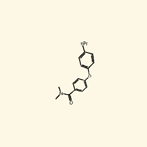 CCCc1ccc(Oc2ccc(C(=O)N(C)C)cc2)cc1